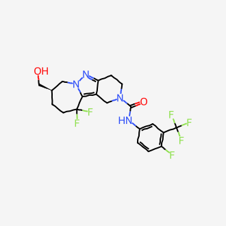 O=C(Nc1ccc(F)c(C(F)(F)F)c1)N1CCc2nn3c(c2C1)C(F)(F)CC[C@@H](CO)C3